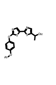 CC(C)Oc1ccc(Oc2ncc(-c3ncc(C(C)O)s3)s2)cc1